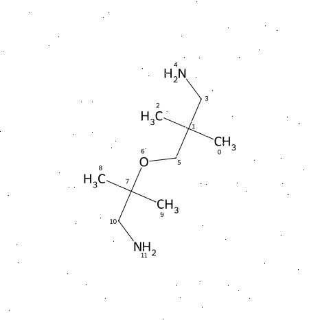 CC(C)(CN)COC(C)(C)CN